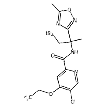 Cc1nc(C(C)(CC(C)(C)C)NC(=O)c2cc(OCC(F)(F)F)c(Cl)cn2)no1